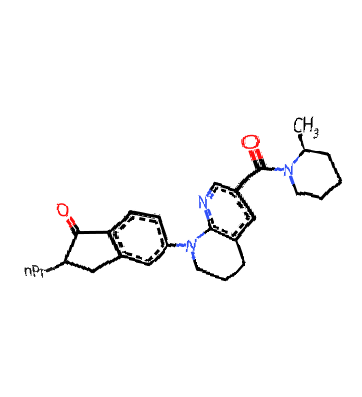 CCCC1Cc2cc(N3CCCc4cc(C(=O)N5CCCC[C@@H]5C)cnc43)ccc2C1=O